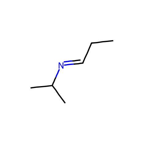 CC/C=N/C(C)C